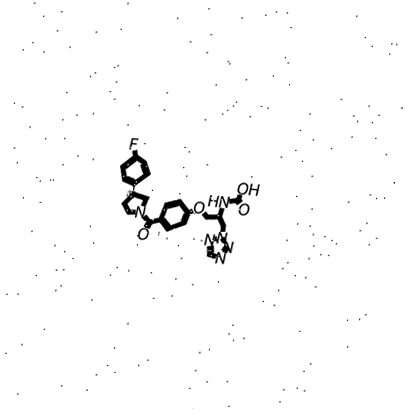 O=C(O)NC(COc1ccc(C(=O)N2CC[C@H](c3ccc(F)cc3)C2)cc1)Cn1ncnn1